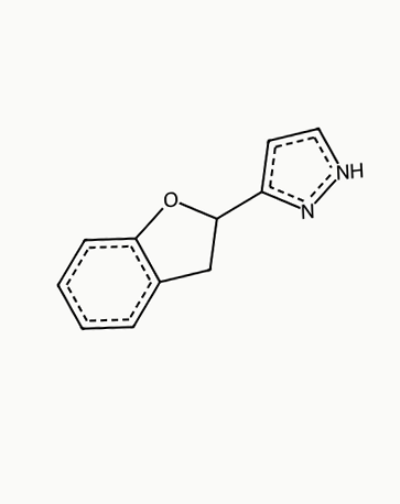 c1ccc2c(c1)CC(c1cc[nH]n1)O2